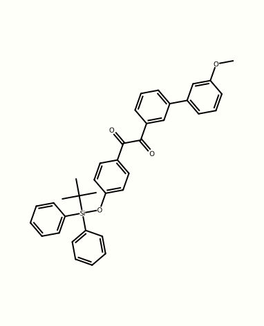 COc1cccc(-c2cccc(C(=O)C(=O)c3ccc(O[Si](c4ccccc4)(c4ccccc4)C(C)(C)C)cc3)c2)c1